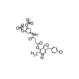 CC1=C(OC(=O)CCC(=O)N[C@@H]2C[C@H](O[N+](=O)[O-])[C@H](O[N+](=O)[O-])C2)C2=COC(c3ccc(Cl)cc3)C2=CN1